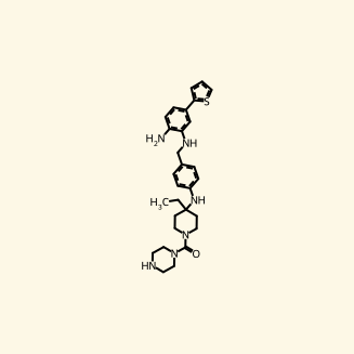 CCC1(Nc2ccc(CNc3cc(-c4cccs4)ccc3N)cc2)CCN(C(=O)N2CCNCC2)CC1